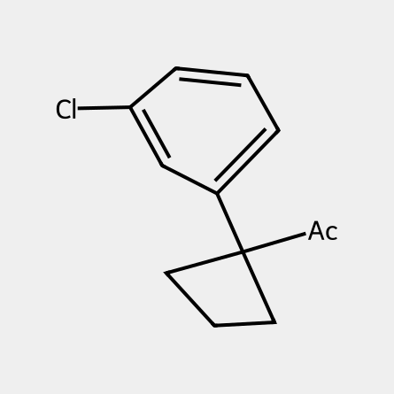 CC(=O)C1(c2cccc(Cl)c2)CCC1